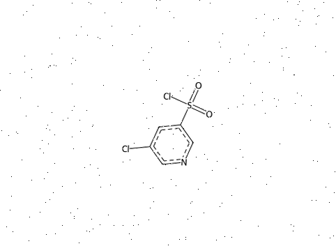 O=S(=O)(Cl)c1cncc(Cl)c1